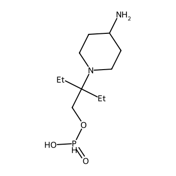 CCC(CC)(CO[PH](=O)O)N1CCC(N)CC1